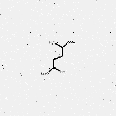 CO[C](C)CC[C](C)OC